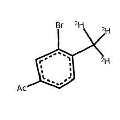 [2H]C([2H])([2H])c1ccc(C(C)=O)cc1Br